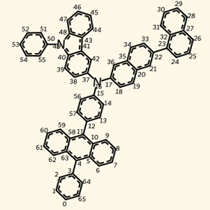 c1ccc(-c2c3ccccc3c(-c3ccc(N(c4ccc5cc(-c6cccc7ccccc67)ccc5c4)c4ccc5c(c4)c4ccccc4n5-c4ccccc4)cc3)c3ccccc23)cc1